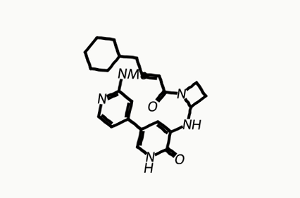 CNc1cc(-c2c[nH]c(=O)c(NC3CCN3C(=O)C=CCC3CCCCC3)c2)ccn1